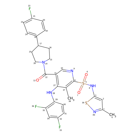 Cc1cc(NS(=O)(=O)c2ncc(C(=O)N3CCC(c4ccc(F)cc4)CC3)c(Nc3ccc(F)cc3F)c2C)sn1